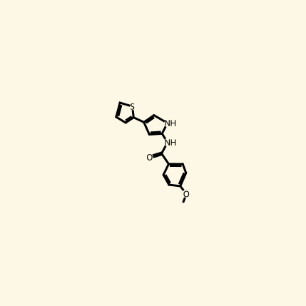 COc1ccc(C(=O)Nc2cc(-c3cccs3)c[nH]2)cc1